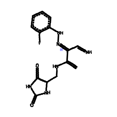 C=C(NCC1NC(=O)NC1=O)/C(C=N)=N/Nc1ccccc1F